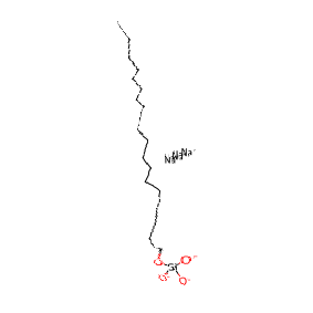 CCCCCCCCCCCCCCCCCCO[Si]([O-])([O-])[O-].[Na+].[Na+].[Na+]